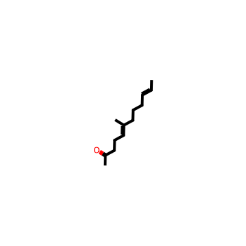 C/C=C/CCC/C(C)=C/CCC(C)=O